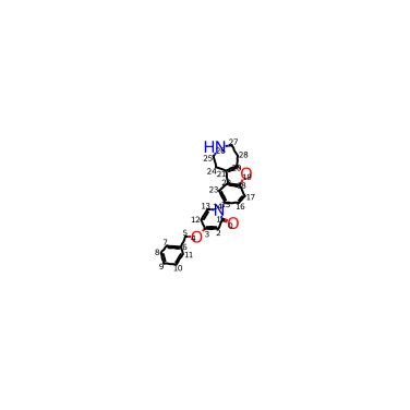 O=c1cc(OCc2ccccc2)ccn1-c1ccc2oc3c(c2c1)CCNCC3